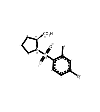 Cc1cc(Br)ccc1S(=O)(=O)N1CCC[C@H]1C(=O)O